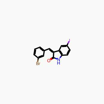 O=C1Nc2ccc(I)cc2C1=Cc1cccc(Br)c1